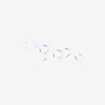 C=C(Nc1cc2cc(-c3cnn(C)c3)ccc2cn1)c1cc(C)nc(N2CCN(C)CC2)c1